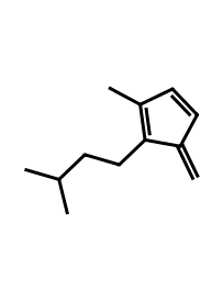 C=C1C=CC(C)=C1CCC(C)C